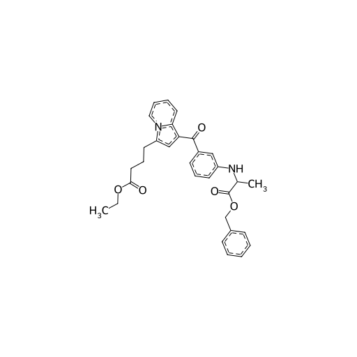 CCOC(=O)CCCc1cc(C(=O)c2cccc(NC(C)C(=O)OCc3ccccc3)c2)c2ccccn12